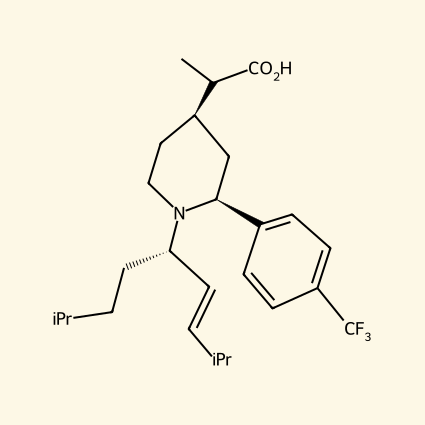 CC(C)C=C[C@H](CCC(C)C)N1CC[C@@H](C(C)C(=O)O)C[C@H]1c1ccc(C(F)(F)F)cc1